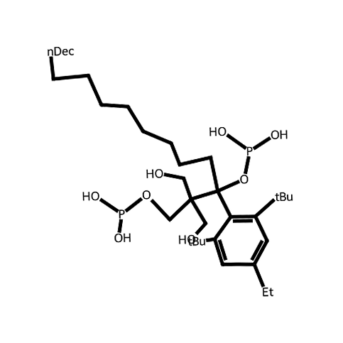 CCCCCCCCCCCCCCCCCCC(OP(O)O)(c1c(C(C)(C)C)cc(CC)cc1C(C)(C)C)C(CO)(CO)COP(O)O